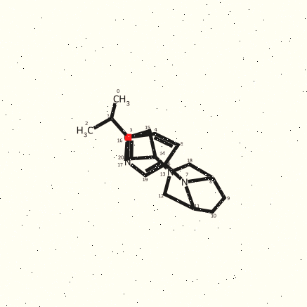 CC(C)c1ccc(N2C3CCC2CN(C2COC2)C3)cn1